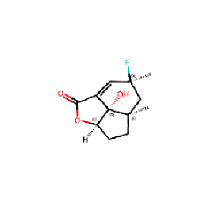 C[C@@]12CC[C@H]3OC(=O)C(=C[C@@](C)(F)C1)[C@]32O